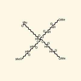 COCCCCC(=O)NCCCNC(=O)CCOCC(COCCC(=O)NCCCNC(=O)CCCCOC)(COCCC(=O)NCCCNC(=O)CCCCOC)NC(=O)CCCCCCCCCCC(=O)C(C)(C)C